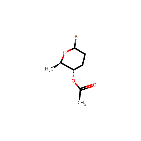 [CH2][C@H]1OC(Br)CC[C@@H]1OC(C)=O